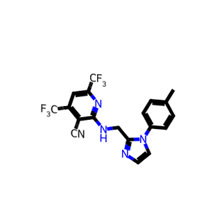 Cc1ccc(-n2ccnc2CNc2nc(C(F)(F)F)cc(C(F)(F)F)c2C#N)cc1